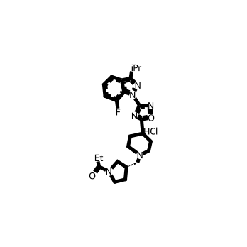 CCC(=O)N1CC[C@@H](CN2CCC(c3nc(-n4nc(C(C)C)c5cccc(F)c54)no3)CC2)C1.Cl